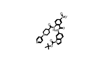 CC(C)(C)OC(=O)n1ccc2ccc(NC(=O)c3cc([N+](=O)[O-])ccc3NC(=O)C3CCN(c4ccncc4)CC3)cc21